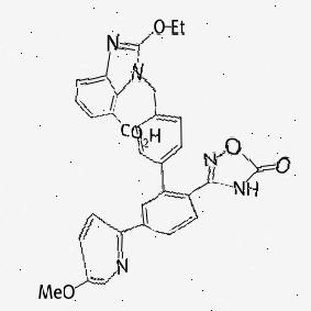 CCOc1nc2cccc(C(=O)O)c2n1Cc1ccc(-c2cc(-c3ccc(OC)cn3)ccc2-c2noc(=O)[nH]2)cc1